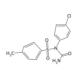 Cc1ccc(S(=O)(=O)N(C(N)=O)c2ccc(Cl)cc2)cc1